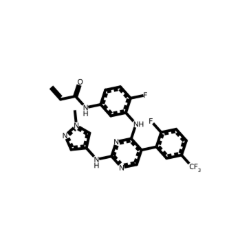 C=CC(=O)Nc1ccc(F)c(Nc2nc(Nc3cnn(C)c3)ncc2-c2cc(C(F)(F)F)ccc2F)c1